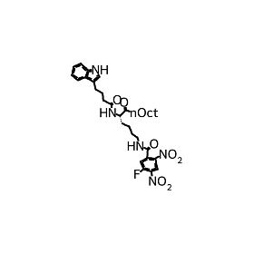 CCCCCCCCC(=O)[C@H](CCCCNC(=O)c1cc(F)c([N+](=O)[O-])cc1[N+](=O)[O-])NC(=O)CCCc1c[nH]c2ccccc12